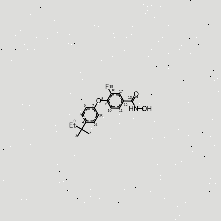 CCC(C)(C)c1ccc(Oc2ccc(C(=O)NO)cc2F)cc1